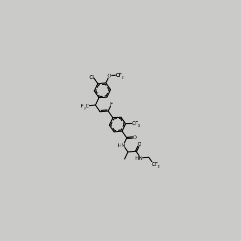 CC(NC(=O)c1ccc(/C(F)=C/C(c2ccc(OC(F)(F)F)c(Cl)c2)C(F)(F)F)cc1C(F)(F)F)C(=O)NCC(F)(F)F